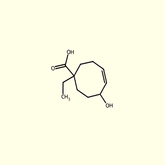 CCC1(C(=O)O)CCC=CC(O)CC1